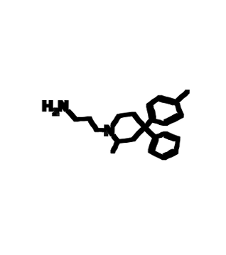 Cc1ccc(C2(c3ccccc3)CCN(CCCN)C(C)C2)cc1